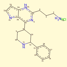 Cl.NCCCc1nc(C2CCNC(c3ccccc3)C2)c2nccc-2[nH]1